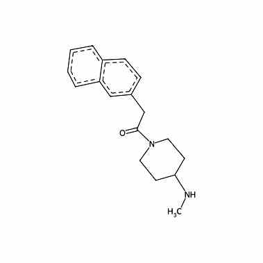 CNC1CCN(C(=O)Cc2ccc3ccccc3c2)CC1